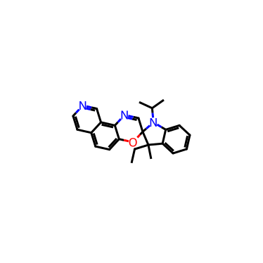 CCC1(C)c2ccccc2N(C(C)C)C12C=Nc1c(ccc3ccncc13)O2